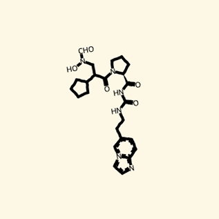 O=CN(O)CC(C(=O)N1CCC[C@H]1C(=O)NC(=O)NCCc1ccc2nccn2c1)C1CCCC1